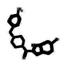 O=C(c1cc2ccc(Br)cc2[nH]1)N1CCN(Cc2ccc(C(F)(F)F)cc2)CC1